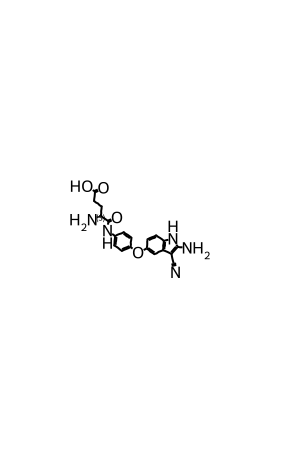 N#Cc1c(N)[nH]c2ccc(Oc3ccc(NC(=O)[C@@H](N)CCC(=O)O)cc3)cc12